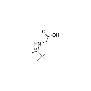 C[C@@H](NCC(=O)O)C(C)(C)C